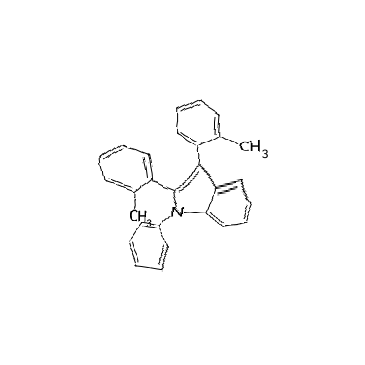 Cc1ccccc1-c1c(-c2ccccc2C)n(-c2ccccc2)c2ccccc12